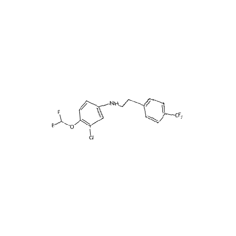 FC(F)Oc1ccc(NCCc2ccc(C(F)(F)F)cc2)cc1Cl